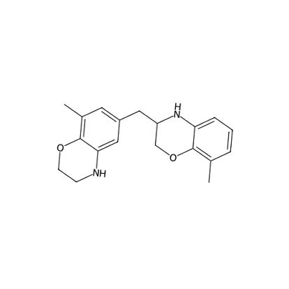 Cc1cc(CC2COc3c(C)cccc3N2)cc2c1OCCN2